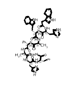 CNC(=O)[C@H](CC(C)C)NC(=O)[C@H](Cc1c[nH]cn1)NC(=O)[C@@H](C)NC(=O)[C@@H](NC(=O)[C@H](C)NC(=O)[C@H](Cc1c[nH]c2ccccc12)NC(=O)[C@H](Cc1c[nH]cn1)NC(=O)Cc1c[nH]c2ccccc12)C(C)C